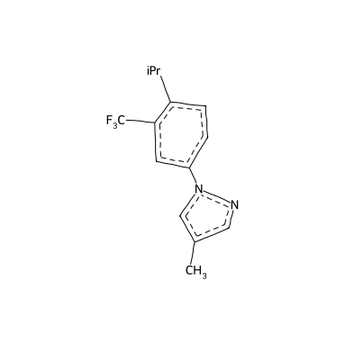 Cc1cnn(-c2ccc(C(C)C)c(C(F)(F)F)c2)c1